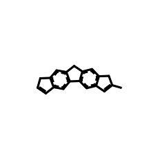 CC1=Cc2cc3c(cc2C1)Cc1cc2c(cc1-3)C=CC2